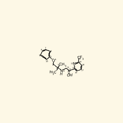 CC(C)(COc1ccccc1)NC[C@@H](O)c1cccc(C(F)(F)F)n1